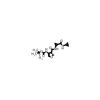 CC(C)(C)OC(=O)Nc1conc1C(=O)NC1CC1C(=O)NC1CC1